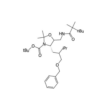 CCCCC(C)(C)C(=O)NCC1OC(C)(C)N(C(=O)OC(C)(C)C)[C@H]1CC(COCc1ccccc1)C(C)C